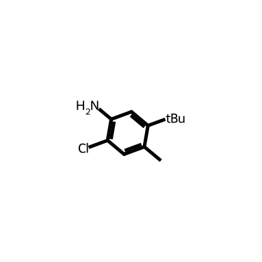 Cc1cc(Cl)c(N)cc1C(C)(C)C